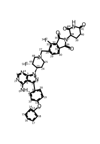 Nc1ncnc2c1c(-c1ccc(Oc3ccccc3)cc1)nn2[C@@H]1CCN(Cc2ccc3c(c2F)C(=O)N(C2CCC(=O)NC2=O)C3=O)C[C@H]1F